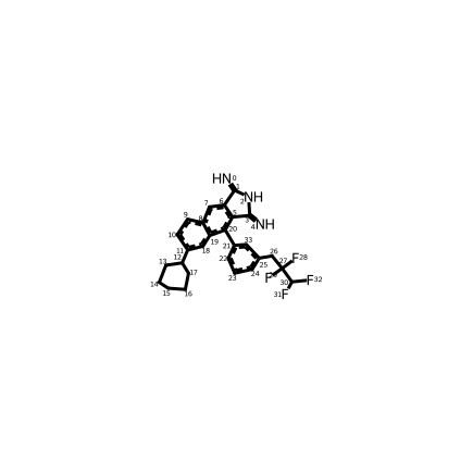 N=C1NC(=N)c2c1cc1ccc(C3CCCCC3)cc1c2-c1cccc(CC(F)(F)C(F)F)c1